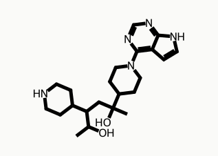 CC(O)C(CC(C)(O)C1CCN(c2ncnc3[nH]ccc23)CC1)C1CCNCC1